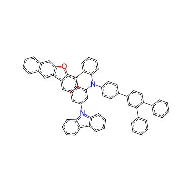 c1ccc(-c2ccc(-c3ccc(N(c4cccc(-n5c6ccccc6c6ccccc65)c4)c4ccccc4-c4cccc5c4oc4cc6ccccc6cc45)cc3)cc2-c2ccccc2)cc1